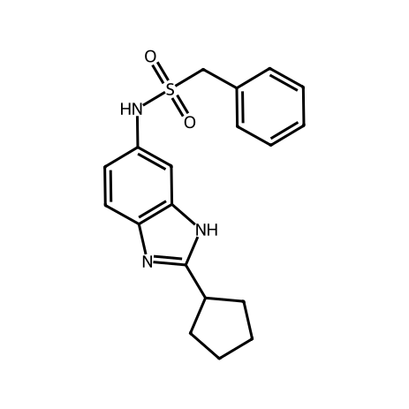 O=S(=O)(Cc1ccccc1)Nc1ccc2nc(C3CCCC3)[nH]c2c1